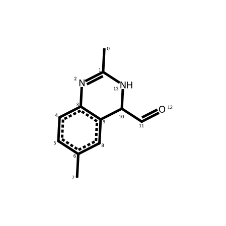 CC1=Nc2ccc(C)cc2C(C=O)N1